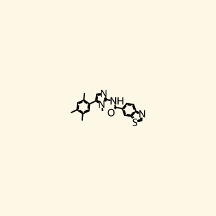 Cc1cc(C)c(-c2cnc(NC(=O)c3ccc4ncsc4c3)n2C)cc1C